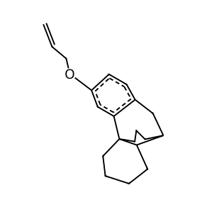 C=CCOc1ccc2c(c1)C13CCCCC1C(CCC3)C2